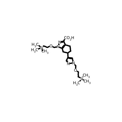 C[Si](C)(C)CCOCn1cc(C2CCc3c(C(=O)O)nn(COCC[Si](C)(C)C)c3C2)cn1